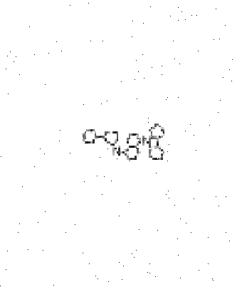 CN(c1cccc(-c2ccccc2)c1)c1cccc2c(-n3c4ccccc4c4ccccc43)cccc12